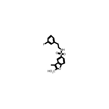 Cc1c(C(=O)O)oc2ccc(S(=O)(=O)NCCc3cccc(F)c3)cc12